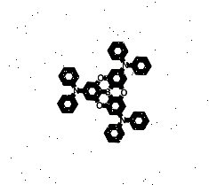 c1ccc(N(c2ccccc2)c2cc3c4c(c2)Oc2cc(N(c5ccccc5)c5ccccc5)cc5c2B4c2c(cc(N(c4ccccc4)c4ccccc4)cc2O5)O3)cc1